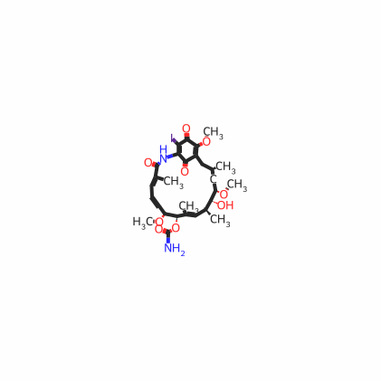 COC1=C2C[C@@H](C)C[C@H](OC)[C@H](O)[C@@H](C)/C=C(\C)[C@H](OC(N)=O)[C@@H](OC)/C=C\C=C(/C)C(=O)NC(=C(I)C1=O)C2=O